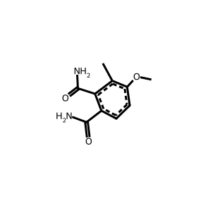 COc1ccc(C(N)=O)c(C(N)=O)c1C